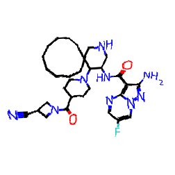 N#CC1CN(C(=O)C2CCN(C3C(NC(=O)c4c(N)nn5cc(F)cnc45)CNCC34CCCCCCCCC4)CC2)C1